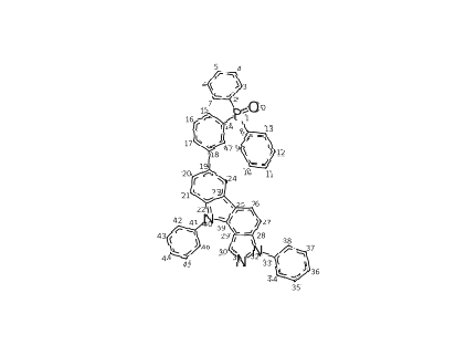 O=P(c1ccccc1)(c1ccccc1)c1cccc(-c2ccc3c(c2)c2ccc4c(cnn4-c4ccccc4)c2n3-c2ccccc2)c1